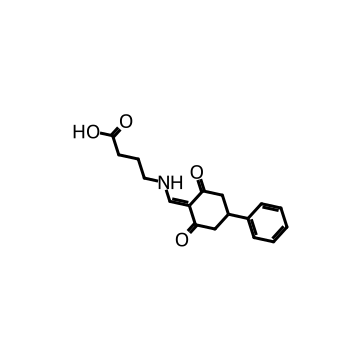 O=C(O)CCCNC=C1C(=O)CC(c2ccccc2)CC1=O